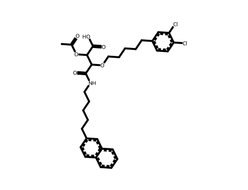 CC(=O)OC(C(=O)O)C(OCCCCCc1ccc(Cl)c(Cl)c1)C(=O)NCCCCCc1ccc2ccccc2c1